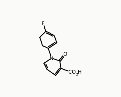 O=C(O)c1cccn(C2=CC=C(F)CC2)c1=O